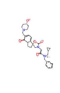 C[C@@H](C1CC1)N(Cc1ccccc1)C(=O)CN1CC2(CCC3C(=O)C(CN4CCC(O)CC4)=CC=C32)OC1=O